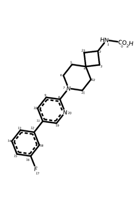 O=C(O)NC1CC2(CCN(c3ccc(-c4cccc(F)c4)cn3)CC2)C1